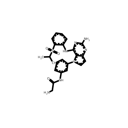 CC(C)S(=O)(=O)c1ccccc1Nc1nc(N)nc2ccn(-c3cccc(NC(=O)CN)c3)c12